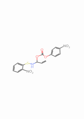 C=CC(NSc1ccccc1[N+](=O)[O-])OC(=O)Oc1ccc([N+](=O)[O-])cc1